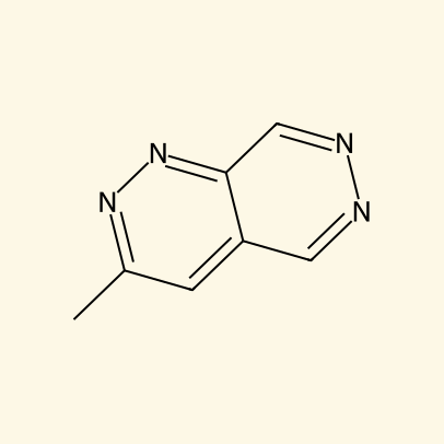 Cc1cc2cnncc2nn1